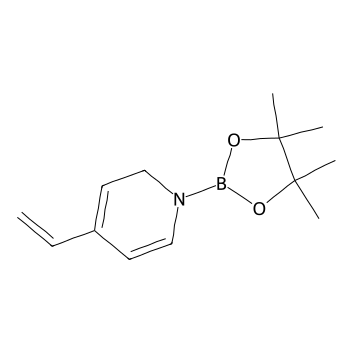 C=CC1=CCN(B2OC(C)(C)C(C)(C)O2)C=C1